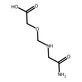 NC(=O)CNCOCC(=O)O